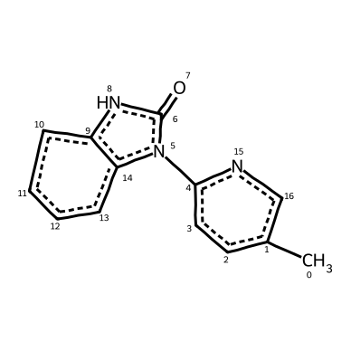 Cc1ccc(-n2c(=O)[nH]c3ccccc32)nc1